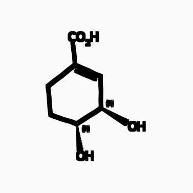 O=C(O)C1=C[C@@H](O)[C@H](O)CC1